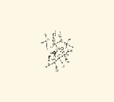 CC(C)(C)C(=O)C(C)(C(=O)C(C)(C)C)S(=O)(=O)C(F)(F)C(F)(F)C(F)(F)F